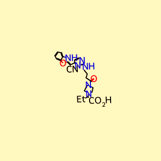 CCC(C(=O)O)N1CCN(C(=O)CCCNc2nccc(C(C#N)=C3Nc4ccccc4O3)n2)CC1